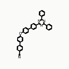 N#Cc1ccc(-c2ccc(Oc3ccc(-c4ccc(-c5nc(-c6ccccc6)nc(-c6ccccc6)n5)cc4)cc3)cc2)cc1